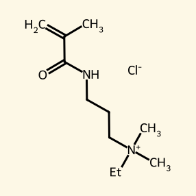 C=C(C)C(=O)NCCC[N+](C)(C)CC.[Cl-]